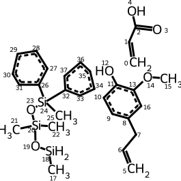 C=CC(=O)O.C=CCc1ccc(O)c(OC)c1.C[SiH2]O[Si](C)(C)O[Si](C)(c1ccccc1)c1ccccc1